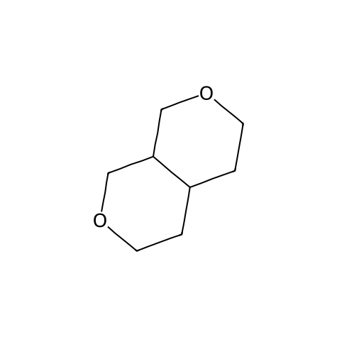 C1CC2CCOCC2CO1